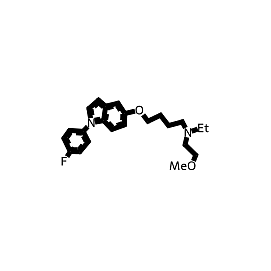 CCN(CCCCOc1ccc2c(ccn2-c2ccc(F)cc2)c1)CCOC